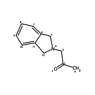 CC(=O)CN1Cc2ccccc2C1